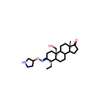 CC[C@H]1C(=NOC2CCNC2)CC[C@]2(CO)C3CC[C@]4(C)C(=O)CCC4C3CCC12